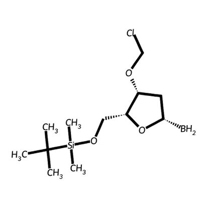 B[C@H]1C[C@@H](OCCl)[C@@H](CO[Si](C)(C)C(C)(C)C)O1